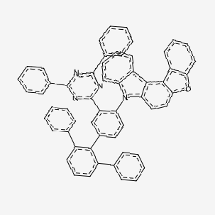 c1ccc(-c2nc(-c3ccccc3)nc(-c3cc(-c4c(-c5ccccc5)cccc4-c4ccccc4)ccc3-n3c4ccccc4c4c5c(ccc43)oc3ccccc35)n2)cc1